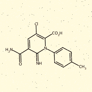 Cc1ccc(-n2c(C(=O)O)c(Cl)cc(C(N)=O)c2=N)cc1